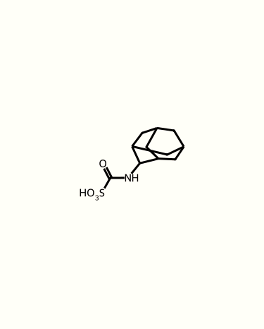 O=C(NC1C2CC3CC(C2)CC1C3)S(=O)(=O)O